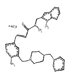 CN(Cc1cc2ccccc2n1C)C(=O)/C=C/c1cnc(N)c(CN2CCC(Cc3ccccc3)CC2)c1.Cl